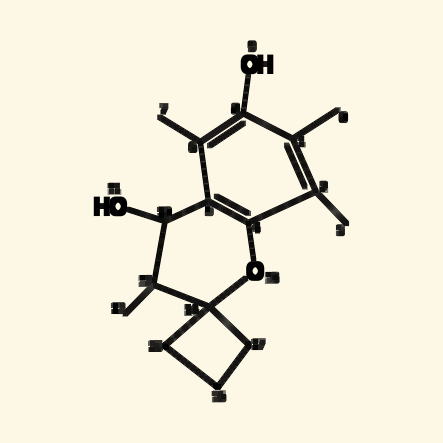 Cc1c(C)c2c(c(C)c1O)C(O)C(C)C1(CCC1)O2